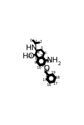 CC(C)NC1CCc2c(ccc(OCc3ccccc3)c2N)C1O